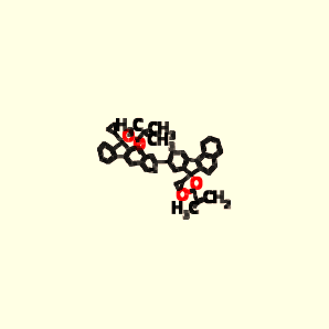 C=C(C)C(=O)OC1(C2CC2)c2cc(-c3ccc4cc5c(cc4c3)C(OC(=O)C(C)(C)C)(C3CC3)c3ccccc3-5)ccc2-c2c1ccc1ccccc21